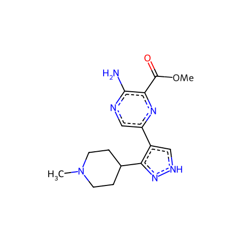 COC(=O)c1nc(-c2c[nH]nc2C2CCN(C)CC2)cnc1N